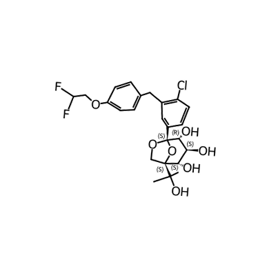 CC(C)(O)[C@@]12CO[C@@](c3ccc(Cl)c(Cc4ccc(OCC(F)F)cc4)c3)(O1)[C@H](O)[C@@H](O)[C@@H]2O